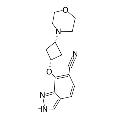 N#Cc1ccc2c[nH]nc2c1O[C@H]1C[C@@H](N2CCOCC2)C1